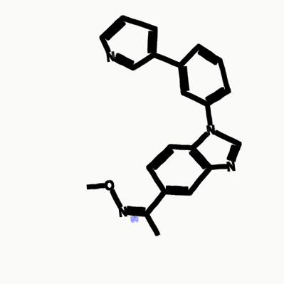 CO/N=C(/C)c1ccc2c(c1)ncn2-c1cccc(-c2cccnc2)c1